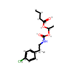 [CH2][C@@H](CNC(=O)OC(C)OC(=O)CCC)c1ccc(Cl)cc1